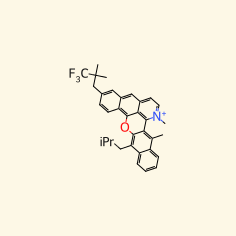 Cc1c2c(c(CC(C)C)c3ccccc13)Oc1c3ccc(CC(C)(C)C(F)(F)F)cc3cc3cc[n+](C)c-2c13